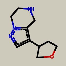 c1nn2c(c1C1CCOC1)CNCC2